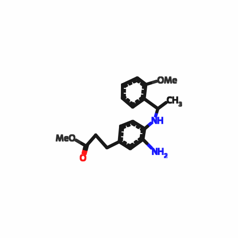 COC(=O)CCc1ccc(NC(C)c2ccccc2OC)c(N)c1